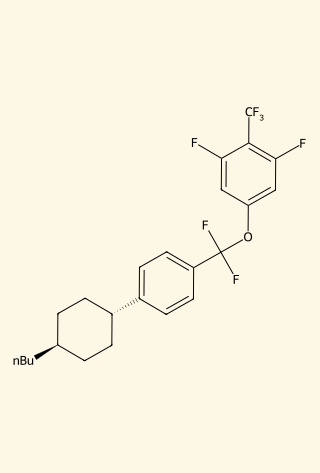 CCCC[C@H]1CC[C@H](c2ccc(C(F)(F)Oc3cc(F)c(C(F)(F)F)c(F)c3)cc2)CC1